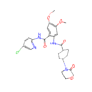 COc1cc(NC(=O)C2CCC(N3CCOCC3=O)CC2)c(C(=O)Nc2ccc(Cl)cn2)cc1OC